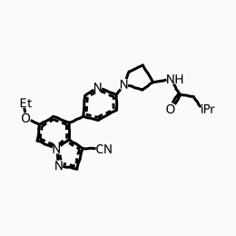 CCOc1cc(-c2ccc(N3CCC(NC(=O)CC(C)C)C3)nc2)c2c(C#N)cnn2c1